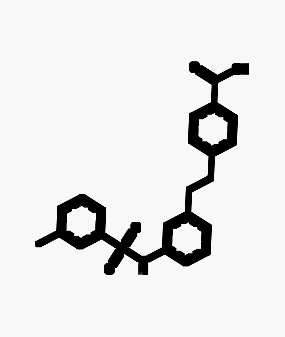 Cc1cccc(S(=O)(=O)Nc2cccc(CCc3ccc(C(=O)O)cc3)c2)c1